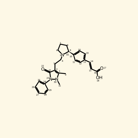 Cc1c(CCN2CCC[C@H]2c2ccc(C=CC(=O)O)cc2)c(=O)n(-c2ccccc2)n1C